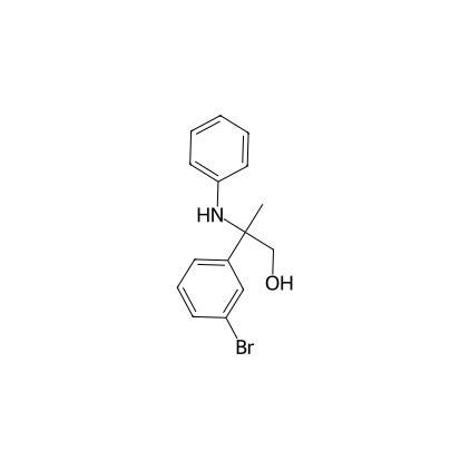 CC(CO)(Nc1ccccc1)c1cccc(Br)c1